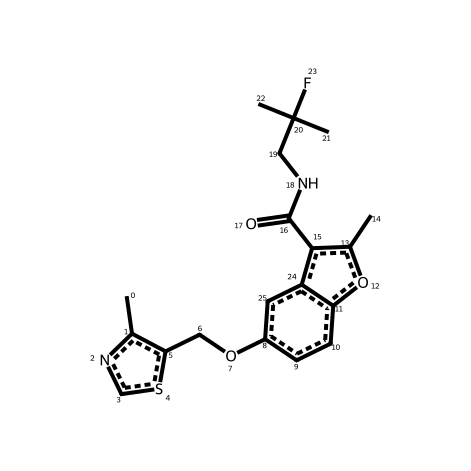 Cc1ncsc1COc1ccc2oc(C)c(C(=O)NCC(C)(C)F)c2c1